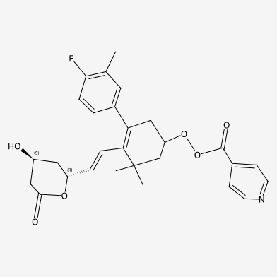 Cc1cc(C2=C(C=C[C@H]3C[C@H](O)CC(=O)O3)C(C)(C)CC(OOC(=O)c3ccncc3)C2)ccc1F